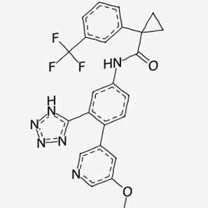 COc1cncc(-c2ccc(NC(=O)C3(c4cccc(C(F)(F)F)c4)CC3)cc2-c2nnn[nH]2)c1